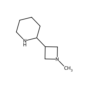 CN1CC(C2CCCCN2)C1